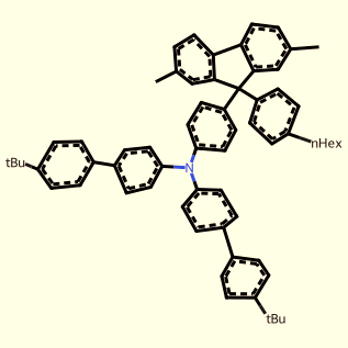 CCCCCCc1ccc(C2(c3ccc(N(c4ccc(-c5ccc(C(C)(C)C)cc5)cc4)c4ccc(-c5ccc(C(C)(C)C)cc5)cc4)cc3)c3cc(C)ccc3-c3ccc(C)cc32)cc1